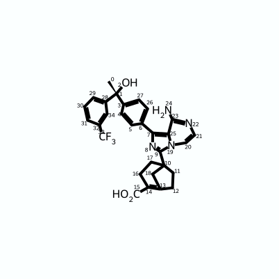 C[C@@](O)(c1ccc(-c2nc(C34CCC(=C(C(=O)O)CC3)C4)n3ccnc(N)c23)cc1)c1cccc(C(F)(F)F)c1